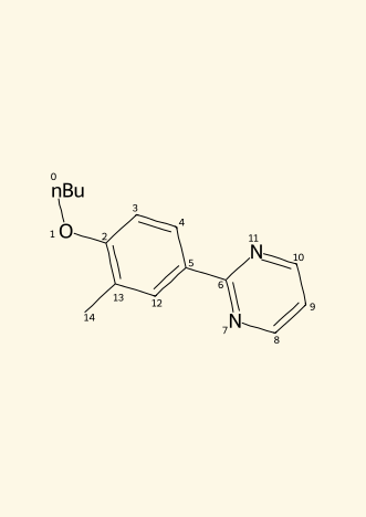 CCCCOc1ccc(-c2ncccn2)cc1C